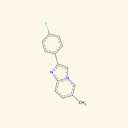 Cc1ccc2nc(-c3ccc(F)cc3)cn2c1